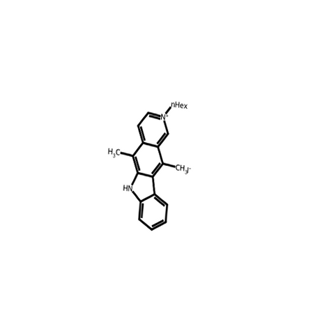 CCCCCC[n+]1ccc2c(C)c3[nH]c4ccccc4c3c(C)c2c1.[I-]